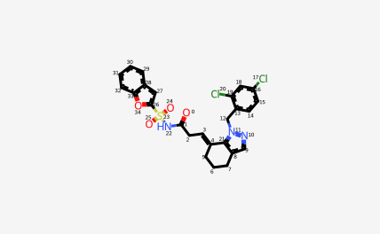 O=C(C/C=C1\CCCc2cnn(Cc3ccc(Cl)cc3Cl)c21)NS(=O)(=O)c1cc2ccccc2o1